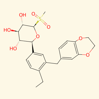 CCc1ccc([C@@H]2O[C@H](S(C)(=O)=O)[C@@H](O)[C@H](O)[C@H]2O)cc1Cc1ccc2c(c1)OCCO2